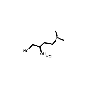 CN(C)CCC(O)CC#N.Cl